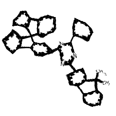 CC1(C)c2ccccc2-c2ccc(-c3nc(-c4ccccc4)nc(-c4ccc5c(c4)C4(c6ccccc6-c6ccccc64)c4ccccc4-5)n3)cc21